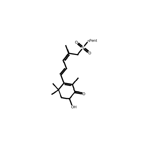 CCCCCS(=O)(=O)CC(C)=CC=CC1=C(C)C(=O)C(O)CC1(C)C